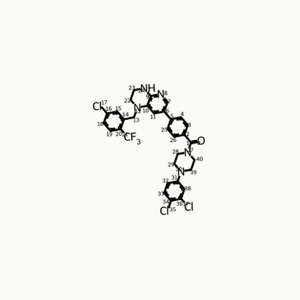 O=C(c1ccc(-c2cnc3c(c2)N(Cc2cc(Cl)ccc2C(F)(F)F)CCN3)cc1)N1CCN(c2ccc(Cl)c(Cl)c2)CC1